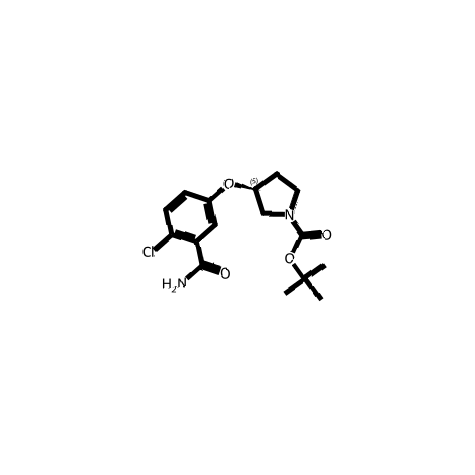 CC(C)(C)OC(=O)N1CC[C@H](Oc2ccc(Cl)c(C(N)=O)c2)C1